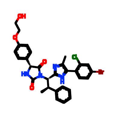 Cc1nc([C@H]([C@H](C)c2ccccc2)N2C(=O)N[C@H](c3ccc(OCCO)cc3)C2=O)[nH]c1-c1ccc(Br)cc1Cl